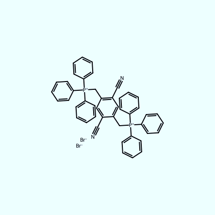 N#Cc1cc(C[P+](c2ccccc2)(c2ccccc2)c2ccccc2)c(C#N)cc1C[P+](c1ccccc1)(c1ccccc1)c1ccccc1.[Br-].[Br-]